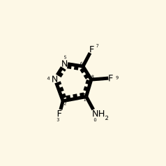 Nc1c(F)nnc(F)c1F